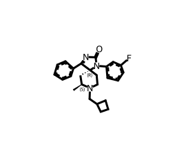 C[C@H]1C[C@]2(CCN1CC1CCC1)C(c1ccccc1)=NC(=O)N2c1cccc(F)c1